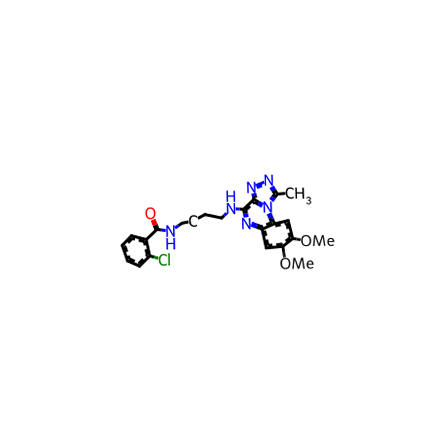 COc1cc2nc(NCCCCNC(=O)c3ccccc3Cl)c3nnc(C)n3c2cc1OC